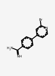 N=C(N)c1ccc(-c2ccnc(Br)c2)cc1